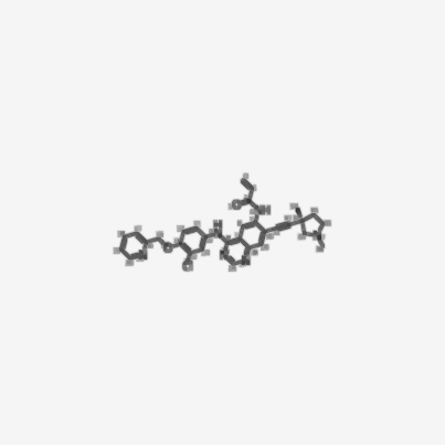 C=CC(=O)Nc1cc2c(Nc3ccc(OCc4ccccn4)c(Cl)c3)ncnc2cc1C#C[C@]1(C)CCN(C)C1